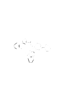 C[C@@H](NC(=O)[C@H]1CN(C2CCCCC2)CC[C@@H]1NC(=O)c1cc(-c2ccc(F)cc2F)on1)c1ncccc1F